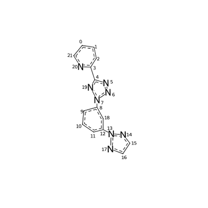 c1ccc(-c2nnn(-c3cccc(-n4nccn4)c3)n2)nc1